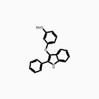 COc1cccc(Oc2c(-c3ccccc3)[nH]c3ccccc23)c1